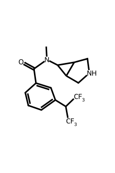 CN(C(=O)c1cccc(C(C(F)(F)F)C(F)(F)F)c1)C1C2CNCC21